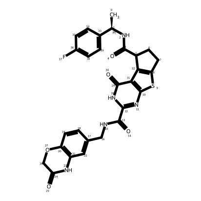 C[C@@H](NC(=O)C1CCc2sc3nc(C(=O)NCc4ccc5c(c4)NC(=O)CO5)[nH]c(=O)c3c21)c1ccc(F)cc1